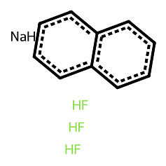 F.F.F.[NaH].c1ccc2ccccc2c1